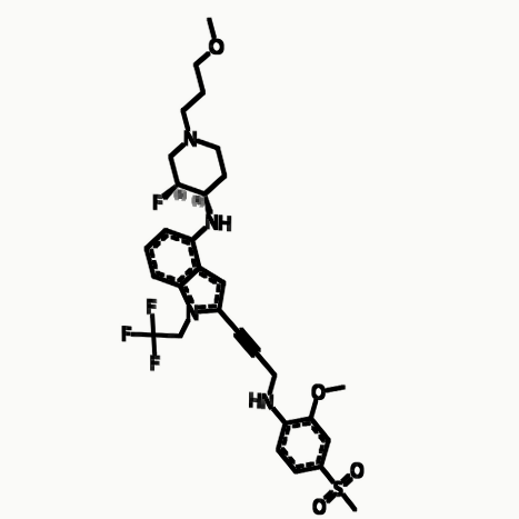 COCCCN1CC[C@@H](Nc2cccc3c2cc(C#CCNc2ccc(S(C)(=O)=O)cc2OC)n3CC(F)(F)F)[C@@H](F)C1